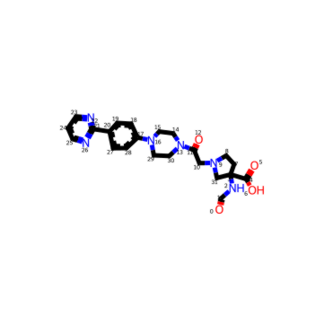 O=CNC1(C(=O)O)CCN(CC(=O)N2CCN(c3ccc(-c4ncccn4)cc3)CC2)C1